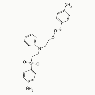 Nc1ccc(SOOCCN(CCS(=O)(=O)c2ccc(N)cc2)c2ccccc2)cc1